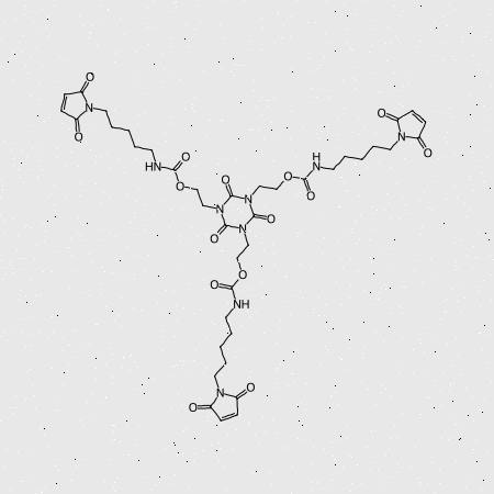 O=C(NCCCCCN1C(=O)C=CC1=O)OCCn1c(=O)n(CCOC(=O)NCCCCCN2C(=O)C=CC2=O)c(=O)n(CCOC(=O)NCCCCCN2C(=O)C=CC2=O)c1=O